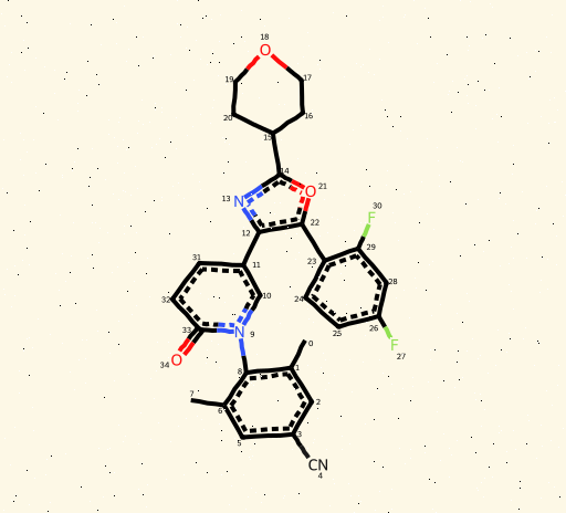 Cc1cc(C#N)cc(C)c1-n1cc(-c2nc(C3CCOCC3)oc2-c2ccc(F)cc2F)ccc1=O